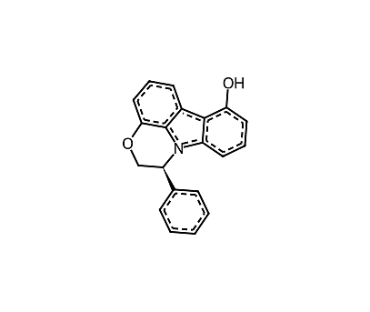 Oc1cccc2c1c1cccc3c1n2[C@@H](c1ccccc1)CO3